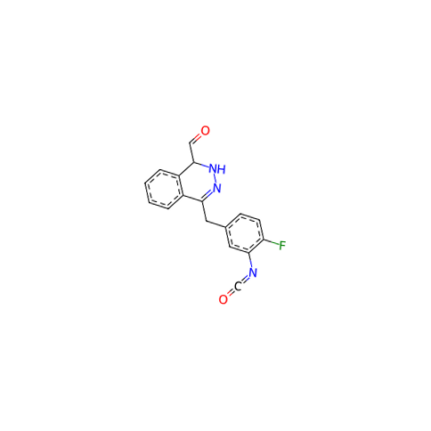 O=C=Nc1cc(CC2=NNC(C=O)c3ccccc32)ccc1F